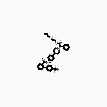 C=CCOCCOC(=O)C(c1ccccc1)N1CCC(c2ccc(NC(=O)c3ccccc3-c3ccc(C(F)(F)F)cc3)cc2)CC1